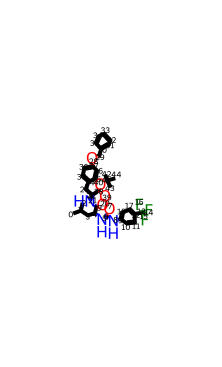 CC(C)CC(NC(=O)Nc1ccc(C(F)(F)F)cc1)C(=O)NC(Cc1ccc(OCc2ccccc2)cc1)C(=O)OC(C)(C)C